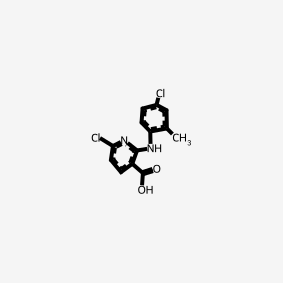 Cc1cc(Cl)ccc1Nc1nc(Cl)ccc1C(=O)O